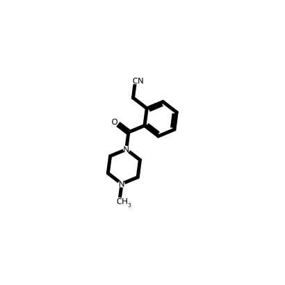 CN1CCN(C(=O)c2ccccc2CC#N)CC1